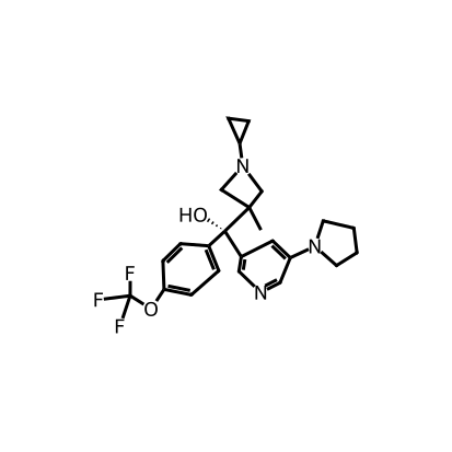 CC1([C@](O)(c2ccc(OC(F)(F)F)cc2)c2cncc(N3CCCC3)c2)CN(C2CC2)C1